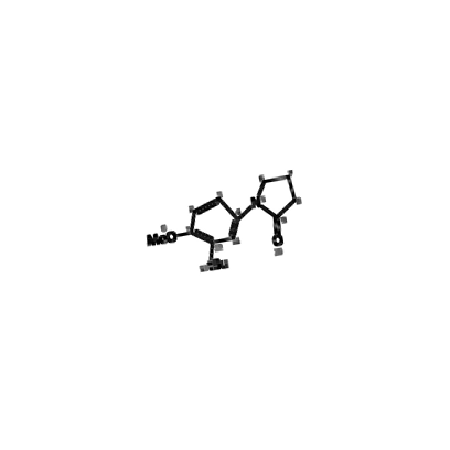 COc1ccc(N2CCCC2=O)cc1C(C)(C)C